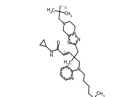 CC(C)(C)CCCCN(CC(C)(/C=C/C(=O)NC1CC1)Cc1nc2n(n1)CCN(CC(C)(C)C)C2)c1ccccn1